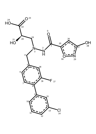 O=C(NN(Cc1ccc(-c2cccc(Cl)c2)c(F)c1)C[C@@H](O)C(=O)O)c1cc(O)no1